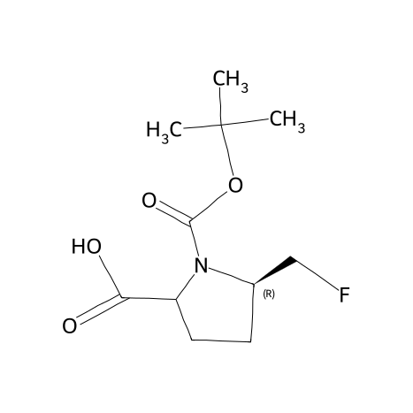 CC(C)(C)OC(=O)N1C(C(=O)O)CC[C@@H]1CF